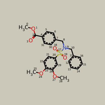 COC(=O)c1ccc(CN(Cc2ccccc2)S(=O)(=O)c2ccc(OC)c(OC)c2)cc1